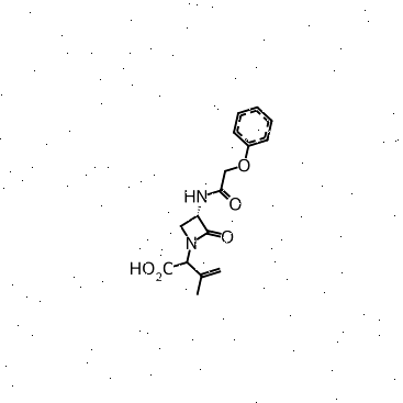 C=C(C)C(C(=O)O)N1C[C@H](NC(=O)COc2ccccc2)C1=O